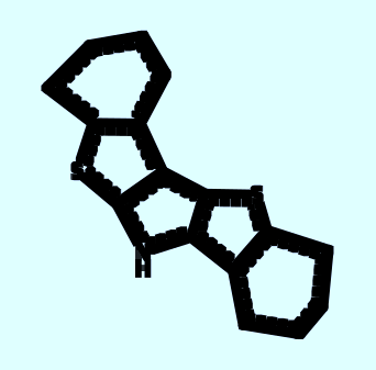 c1ccc2c(c1)sc1c2[nH]c2sc3ccccc3c21